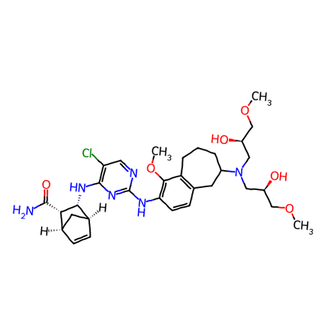 COC[C@H](O)CN(C[C@@H](O)COC)C1CCCc2c(ccc(Nc3ncc(Cl)c(N[C@H]4[C@@H](C(N)=O)[C@@H]5C=C[C@H]4C5)n3)c2OC)C1